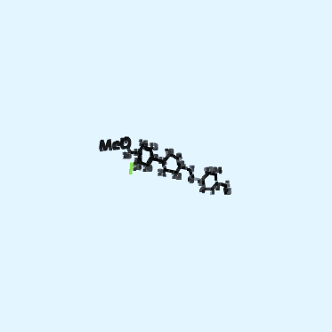 C=C[C@H]1CC[C@H](CCC2CCC(c3ccc(COC)c(F)c3)CC2)CC1